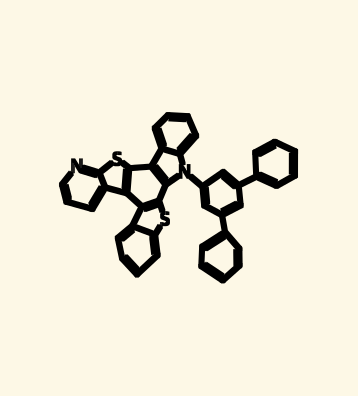 c1ccc(-c2cc(-c3ccccc3)cc(-n3c4ccccc4c4c5sc6ncccc6c5c5c6ccccc6sc5c43)c2)cc1